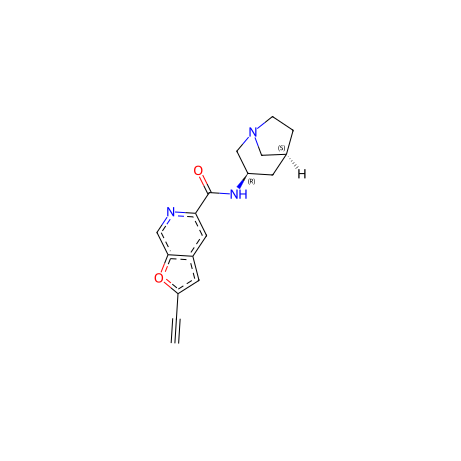 C#Cc1cc2cc(C(=O)N[C@@H]3C[C@@H]4CCN(C4)C3)ncc2o1